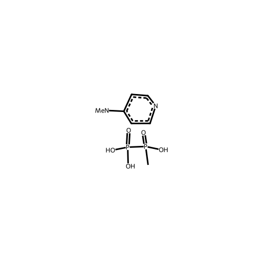 CNc1ccncc1.CP(=O)(O)P(=O)(O)O